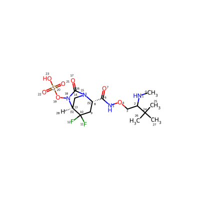 CNC(CONC(=O)[C@@H]1CC(F)(F)[C@@H]2CN1C(=O)N2OS(=O)(=O)O)C(C)(C)C